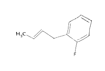 CC=CCc1ccccc1F